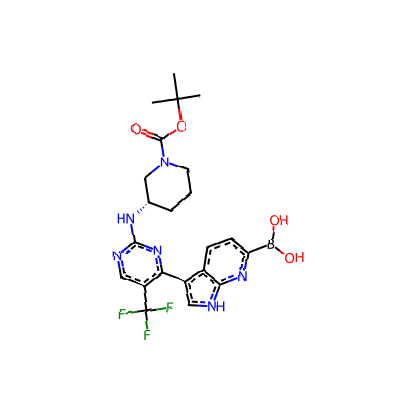 CC(C)(C)OC(=O)N1CCC[C@H](Nc2ncc(C(F)(F)F)c(-c3c[nH]c4nc(B(O)O)ccc34)n2)C1